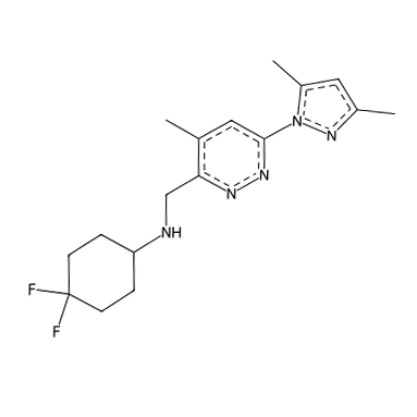 Cc1cc(C)n(-c2cc(C)c(CNC3CCC(F)(F)CC3)nn2)n1